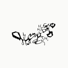 COC1[C@@H](C)[C@@H](CO[Si](c2ccccc2)(c2ccccc2)C(C)(C)C)O[C@H]1n1cnc2c(NC(=O)c3ccccc3)ncnc21